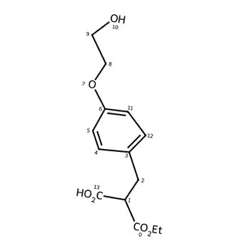 CCOC(=O)C(Cc1ccc(OCCO)cc1)C(=O)O